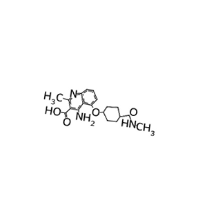 CNC(=O)C1CCC(Oc2cccc3nc(C)c(C(=O)O)c(N)c23)CC1